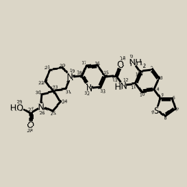 Nc1ccc(-c2cccs2)cc1NC(=O)c1ccc(N2CCCC3(CCN(C(=O)O)C3)C2)nc1